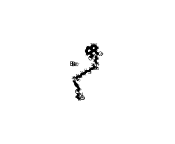 C[N+](C)(CC#CCOC1=NOCC1)CCCCCCCC[N+](C)(C)CCCN1C(=O)c2cccc3cccc(c23)C1=O.[Br-].[Br-]